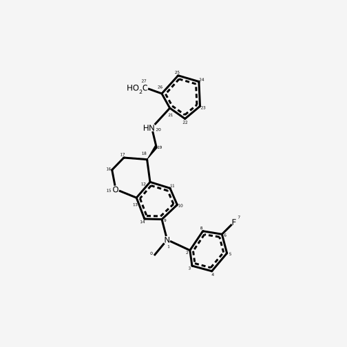 CN(c1cccc(F)c1)c1ccc2c(c1)OCC[C@H]2CNc1ccccc1C(=O)O